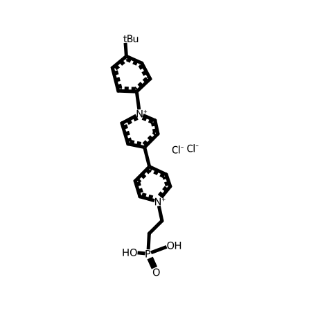 CC(C)(C)c1ccc(-[n+]2ccc(-c3cc[n+](CCP(=O)(O)O)cc3)cc2)cc1.[Cl-].[Cl-]